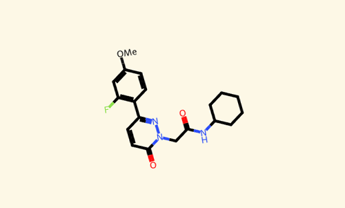 COc1ccc(-c2ccc(=O)n(CC(=O)NC3CCCCC3)n2)c(F)c1